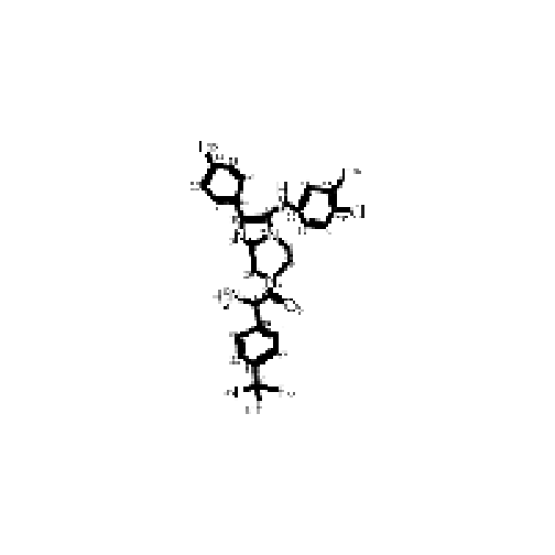 NC(C(=O)N1CCn2c(nc(-c3ccc(F)cc3)c2Nc2ccc(Cl)c(F)c2)C1)c1ccc(C(F)(F)F)cc1